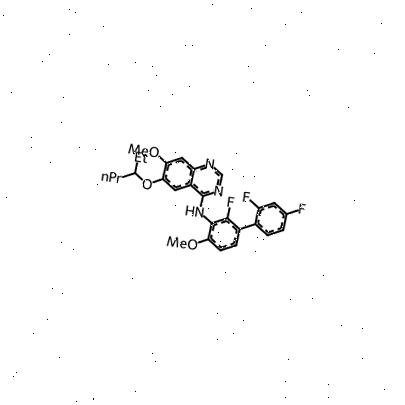 CCCC(CC)Oc1cc2c(Nc3c(OC)ccc(-c4ccc(F)cc4F)c3F)ncnc2cc1OC